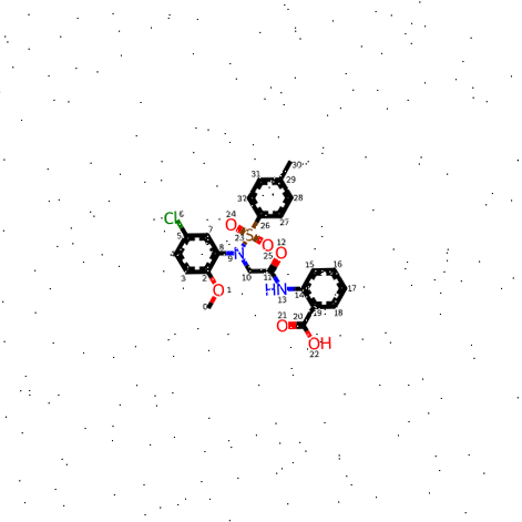 COc1ccc(Cl)cc1N(CC(=O)Nc1ccccc1C(=O)O)S(=O)(=O)c1ccc(C)cc1